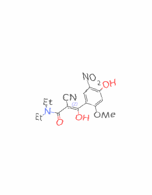 CCN(CC)C(=O)/C(C#N)=C(\O)c1cc([N+](=O)[O-])c(O)cc1OC